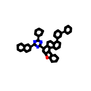 c1ccc(-c2cccc(-c3cccc4c3ccc3c(-c5nc(-c6ccccc6)nc(-c6ccc7ccccc7c6)n5)cc5oc6ccccc6c5c34)c2)cc1